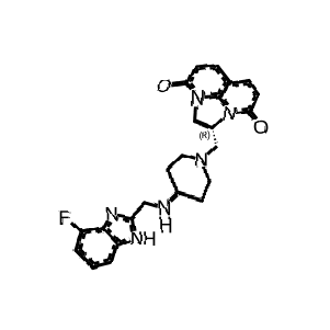 O=c1ccc2ccc(=O)n3c2n1C[C@H]3CN1CCC(NCc2nc3c(F)cccc3[nH]2)CC1